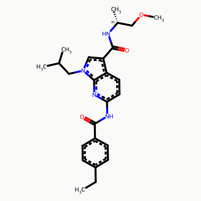 CCc1ccc(C(=O)Nc2ccc3c(C(=O)N[C@H](C)COC)cn(CC(C)C)c3n2)cc1